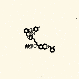 Cc1ccc(S(=O)(=O)Nc2ccccc2CN2CCC(CCCC(=O)c3ccc4c(c3)CCN(Cc3ccccc3C)CC4)CC2)cc1.Cl.Cl